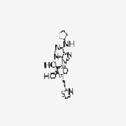 O[C@@H]1[C@H](O)[C@@H](C#Cc2nccs2)O[C@H]1n1cnc2c(NC3CCCC3)ncnc21